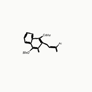 COc1c(C)c(C/C=C(/C)C(C)=O)c(OC)c2ccccc12